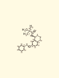 CC(C)(C)[S+]([O-])N=C1CCCc2ccc(OCc3ccccc3)cc21